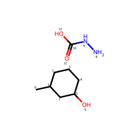 CC1CCCC(O)C1.NNC(=O)O